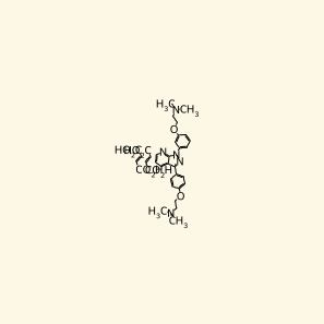 CN(C)CCOc1ccc(-c2nn(-c3cccc(OCCN(C)C)c3)c3ncccc23)cc1.O=C(O)C=CC(=O)O.O=C(O)C=CC(=O)O